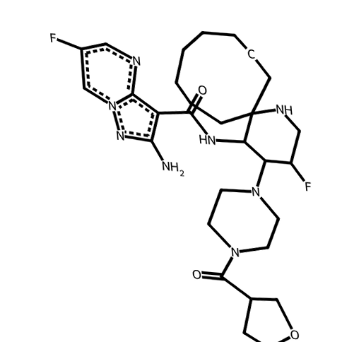 Nc1nn2cc(F)cnc2c1C(=O)NC1C(N2CCN(C(=O)C3CCOC3)CC2)C(F)CNC12CCCCCCCC2